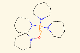 C1CCN(O[PH](N2CCCCC2)(N2CCCCC2)N2CCCCC2)CC1